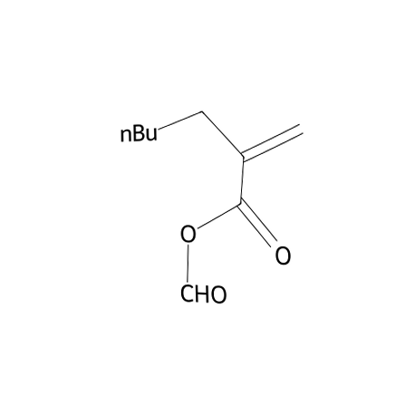 C=C(CCCCC)C(=O)OC=O